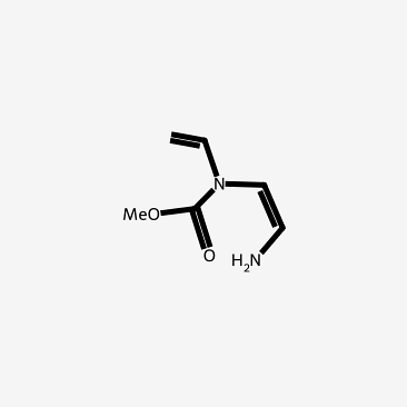 C=CN(/C=C\N)C(=O)OC